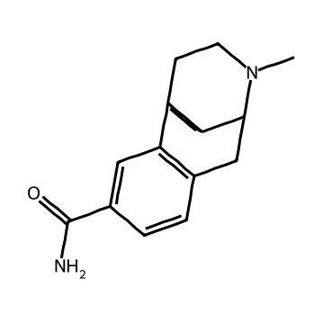 CN1CCC23CCCCC2C1Cc1ccc(C(N)=O)cc13